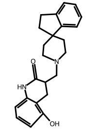 O=C1Nc2cccc(O)c2CC1CN1CCC2(CCc3ccccc32)CC1